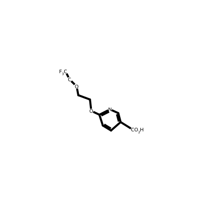 O=C(O)c1ccc(OCCOCC(F)(F)F)nc1